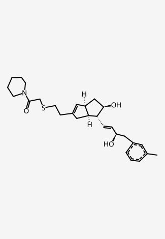 Cc1cccc(C[C@@H](O)/C=C/[C@@H]2[C@H]3CC(CCSCC(=O)N4CCCCC4)=C[C@H]3C[C@H]2O)c1